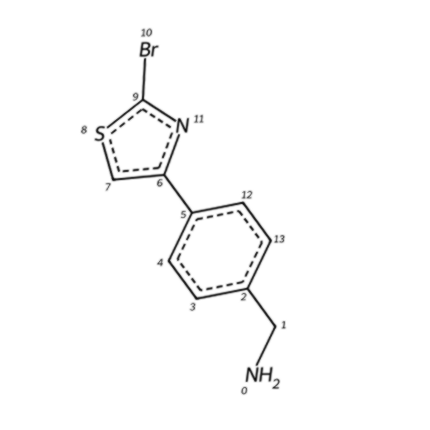 NCc1ccc(-c2csc(Br)n2)cc1